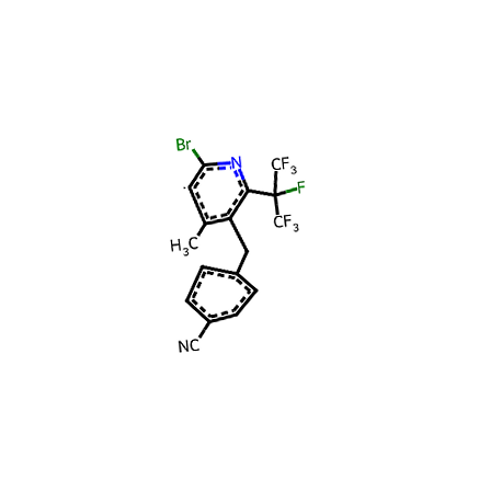 Cc1[c]c(Br)nc(C(F)(C(F)(F)F)C(F)(F)F)c1Cc1ccc(C#N)cc1